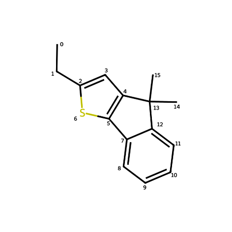 CCc1cc2c(s1)-c1ccccc1C2(C)C